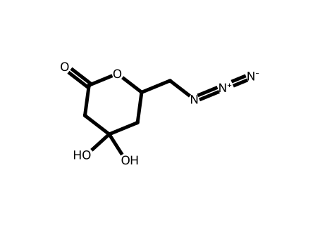 [N-]=[N+]=NCC1CC(O)(O)CC(=O)O1